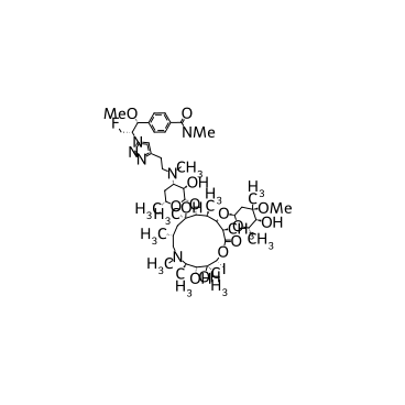 CNC(=O)c1ccc([C@@H](OC)[C@@H](CF)n2cc(CCN(C)[C@H]3C[C@@H](C)O[C@@H](O[C@@H]4[C@@H](C)[C@H](O[C@H]5C[C@@](C)(OC)[C@@H](O)[C@H](C)O5)[C@@H](C)C(=O)O[C@H](I)[C@@](C)(O)[C@H](O)[C@@H](C)N(C)C[C@H](C)C[C@@]4(C)O)[C@@H]3O)nn2)cc1